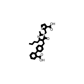 CCCCc1nc(C)n(Cc2sccc2C(=O)O)c(=O)c1Cc1ccc(-c2ccccc2C(=O)O)cc1